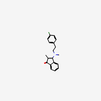 CC1C(=O)c2ccccc2C1N(C)CCc1ccc(Cl)cc1